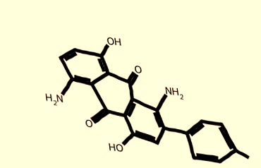 Cc1ccc(-c2cc(O)c3c(c2N)C(=O)c2c(O)ccc(N)c2C3=O)cc1